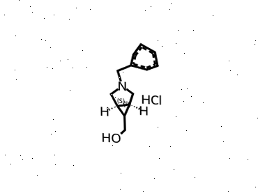 Cl.OCC1[C@H]2CN(Cc3ccccc3)C[C@@H]12